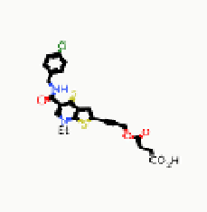 CCn1cc(C(=O)NCc2ccc(Cl)cc2)c(=S)c2cc(C#CCOC(=O)CCC(=O)O)sc21